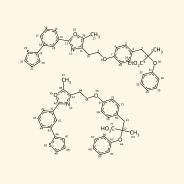 CCOC(=O)C(C)(Cc1ccc(OCCc2nc(-c3cccc(-c4cccs4)c3)oc2C)cc1)Oc1ccccc1.Cc1oc(-c2cccc(-c3cccs3)c2)nc1CCOc1ccc(CC(C)(Oc2ccccc2)C(=O)O)cc1